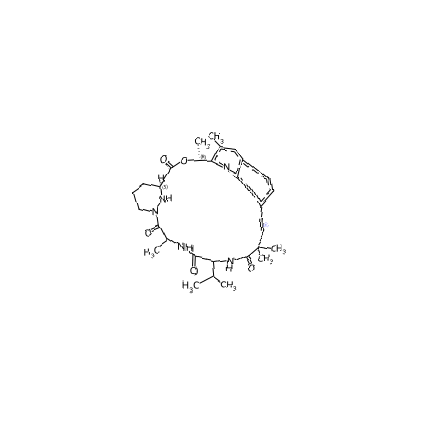 Cc1cc2ccc3cc2nc1[C@@H](C)OC(=O)[C@@H]1CCCN(N1)C(=O)C(C)NC(=O)C(C(C)C)NC(=O)C(C)(C)/C=C/3